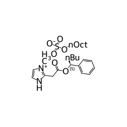 CCCCCCCCOS(=O)(=O)[O-].CCCC[C@H](OC(=O)Cc1[nH]cc[n+]1C)c1ccccc1